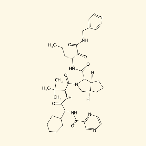 CCC[C@@H](NC(=O)[C@@H]1[C@H]2CCC[C@H]2CN1C(=O)[C@@H](NC(=O)[C@H](NC(=O)c1cnccn1)C1CCCCC1)C(C)(C)C)C(=O)C(=O)NCc1ccncc1